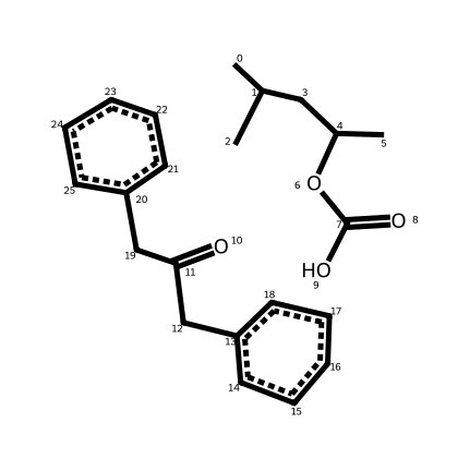 CC(C)CC(C)OC(=O)O.O=C(Cc1ccccc1)Cc1ccccc1